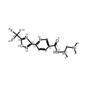 C[C@H](CN(C)C)NC(=O)c1ccc(-c2noc(C(F)(F)F)n2)nc1